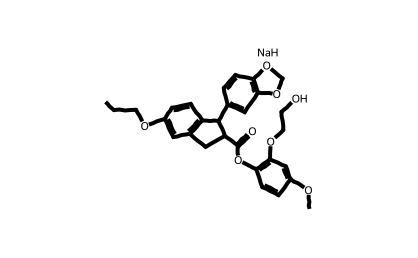 CCCOc1ccc2c(c1)CC(C(=O)Oc1ccc(OC)cc1OCCO)C2c1ccc2c(c1)OCO2.[NaH]